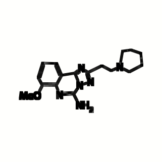 COc1cccc2c1nc(N)n1nc(CCN3CCCCC3)nc21